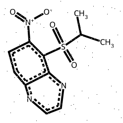 CC(C)S(=O)(=O)c1c([N+](=O)[O-])ccc2nccnc12